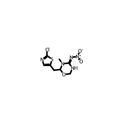 CN1C(=N[N+](=O)[O-])NCOC1Cc1cnc(Cl)s1